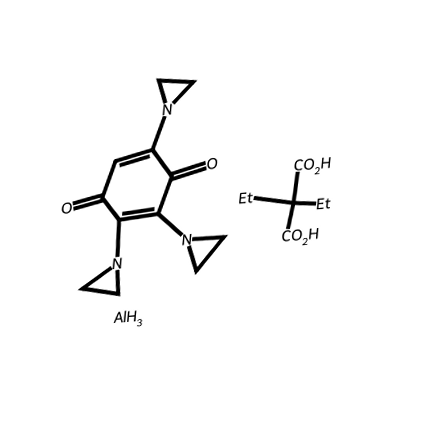 CCC(CC)(C(=O)O)C(=O)O.O=C1C=C(N2CC2)C(=O)C(N2CC2)=C1N1CC1.[AlH3]